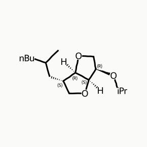 CCCCC(C)C[C@H]1CO[C@H]2[C@@H]1OC[C@H]2OC(C)C